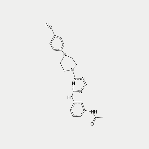 CC(=O)Nc1cccc(Nc2ncnc(N3CCN(c4ccc(C#N)cc4)CC3)n2)c1